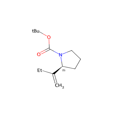 C=C(CC)[C@@H]1CCCN1C(=O)OC(C)(C)C